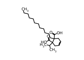 CCCCCCCCCCCCC1(C(=O)O)CC=CCC1(C(=O)O)C(C)C